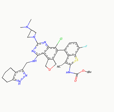 CN(C)C1CN(c2nc(NCc3n[nH]c4c3CCCC4)c3c4c(c(-c5ccc(F)c6sc(NC(=O)OC(C)(C)C)c(C#N)c56)c(Cl)c3n2)COC4)C1